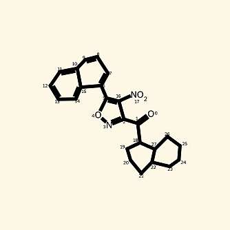 O=C(c1noc(-c2cccc3ccccc23)c1[N+](=O)[O-])C1CCCC2CCCCC21